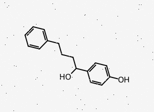 Oc1ccc(C(O)CCCc2ccccc2)cc1